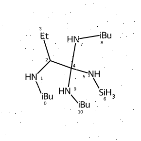 CCC(C)NC(CC)C(N[SiH3])(NC(C)CC)NC(C)CC